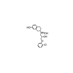 Cl.Oc1ccc2c(c1)CC(NCC(O)COc1ccccc1Cl)CC2